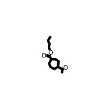 CCCCOC(=O)C1CCCC(C(C)=O)CC1